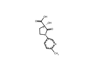 Cc1ccc(N2CC[C@@](O)(C(=O)O)C2=O)cn1